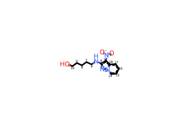 O=[N+]([O-])c1c(NCCCCCO)nn2ccccc12